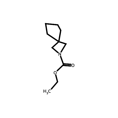 CCOC(=O)N1CC2(CCCC2)C1